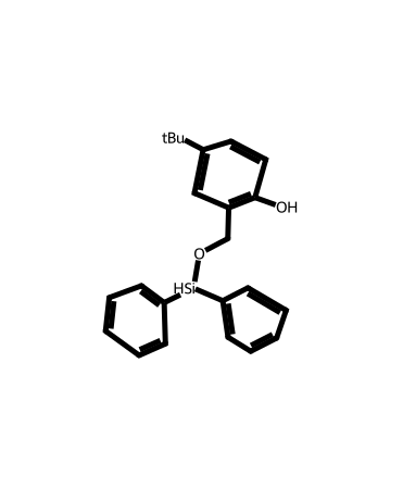 CC(C)(C)c1ccc(O)c(CO[SiH](c2ccccc2)c2ccccc2)c1